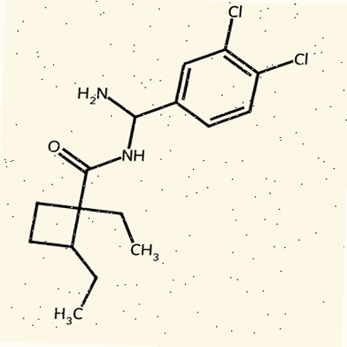 CCC1CCC1(CC)C(=O)NC(N)c1ccc(Cl)c(Cl)c1